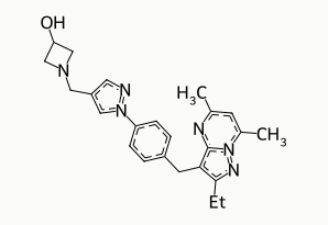 CCc1nn2c(C)cc(C)nc2c1Cc1ccc(-n2cc(CN3CC(O)C3)cn2)cc1